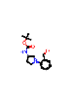 CC(C)(C)OC(=O)N[C@H]1CCN(c2ccccc2C=O)C1